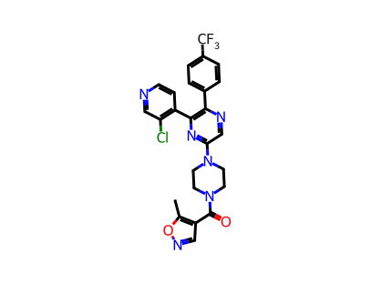 Cc1oncc1C(=O)N1CCN(c2cnc(-c3ccc(C(F)(F)F)cc3)c(-c3ccncc3Cl)n2)CC1